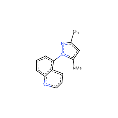 CNc1cc(C(F)(F)F)nn1-c1cccc2ncccc12